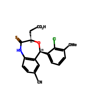 COc1cccc([C@@H]2O[C@@H](CC(=O)O)C(=S)Nc3ccc(C#N)cc32)c1Cl